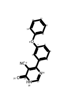 N#Cc1c(-c2cccc(Oc3ccccc3)c2)nc[nH]c1=O